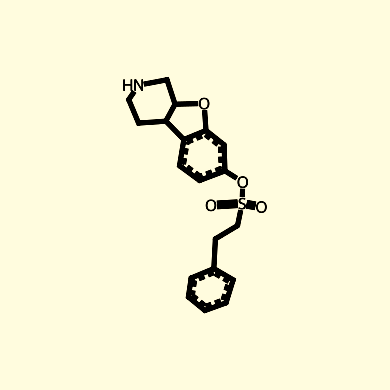 O=S(=O)(CCc1ccccc1)Oc1ccc2c(c1)OC1CNCCC21